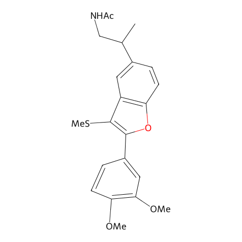 COc1ccc(-c2oc3ccc(C(C)CNC(C)=O)cc3c2SC)cc1OC